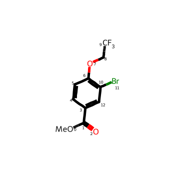 COC(=O)c1ccc(OCC(F)(F)F)c(Br)c1